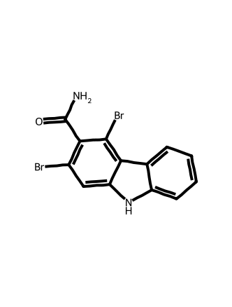 NC(=O)c1c(Br)cc2[nH]c3ccccc3c2c1Br